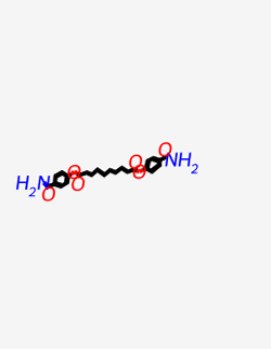 NC(=O)c1ccc(OC(=O)CCCCCCCCC(=O)Oc2ccc(C(N)=O)cc2)cc1